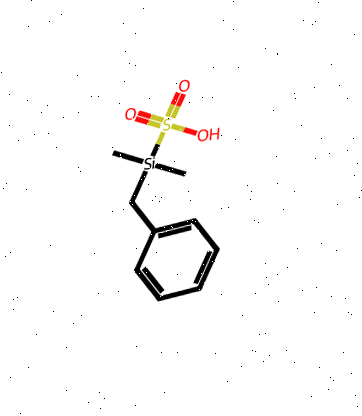 C[Si](C)(Cc1ccccc1)S(=O)(=O)O